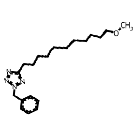 COCCCCCCCCCCCc1nnn(Cc2ccccc2)n1